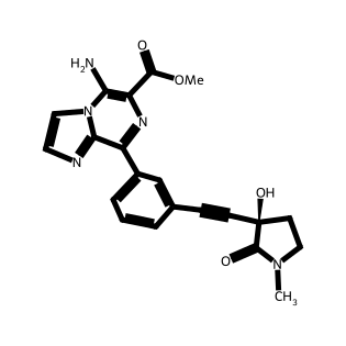 COC(=O)c1nc(-c2cccc(C#C[C@]3(O)CCN(C)C3=O)c2)c2nccn2c1N